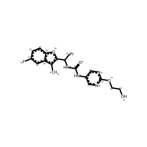 Cc1c(C(NC(=O)Nc2cnc(OCCO)nc2)C(C)C)oc2ccc(F)cc12